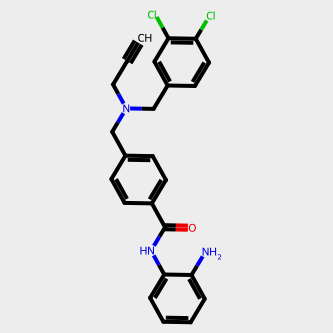 C#CCN(Cc1ccc(C(=O)Nc2ccccc2N)cc1)Cc1ccc(Cl)c(Cl)c1